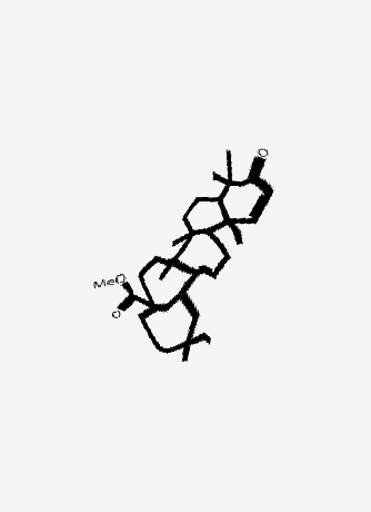 COC(=O)C12CCC(C)(C)CC1C1=CCC3C4(C)C=CC(=O)C(C)(C)C4CCC3(C)C1(C)CC2